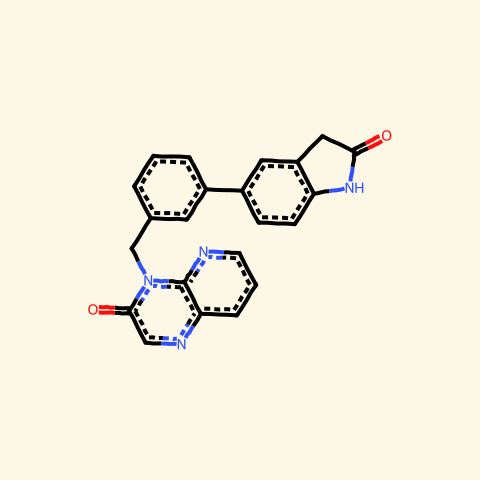 O=C1Cc2cc(-c3cccc(Cn4c(=O)cnc5cccnc54)c3)ccc2N1